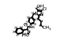 CCCCc1nc(Cl)c(CO)n1Cc1ccc(NC(=O)C(=NO)c2ccccc2)cc1